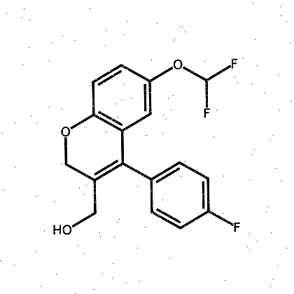 OCC1=C(c2ccc(F)cc2)c2cc(OC(F)F)ccc2OC1